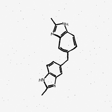 Cc1nc2cc(Cc3ccc4[nH]c(C)nc4c3)ccc2[nH]1